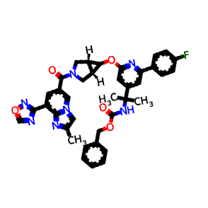 Cc1cn2cc(C(=O)N3C[C@@H]4C(Oc5cc(C(C)(C)NC(=O)OCc6ccccc6)cc(-c6ccc(F)cc6)n5)[C@@H]4C3)cc(-c3ncon3)c2n1